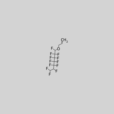 C=CCOC(F)C(F)(F)C(F)(F)C(F)(F)C(F)(F)C(F)C(F)F